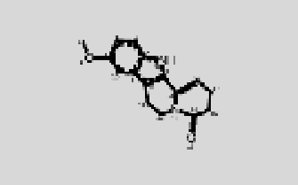 COc1ccc2[nH]c3c(c2c1)CCN1C(=O)CCC=C31